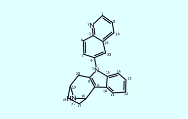 c1cnc2ccc(-n3c4c(c5ccccc53)C3CCC(C4)N3)cc2c1